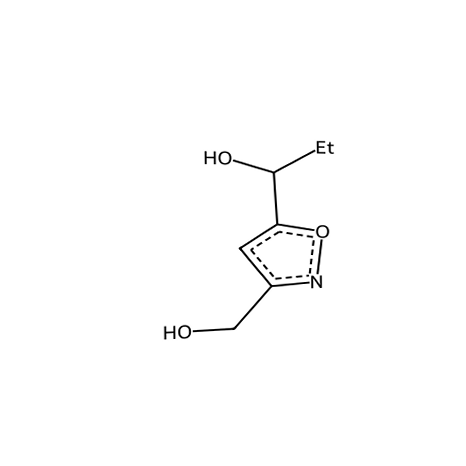 CCC(O)c1cc(CO)no1